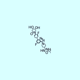 CC(C)C(=O)NC(=N)C1CCN(c2ncnc3c(C4C=C(F)C(N5C[C@H](O)[C@H](O)CC5=O)=CC4)cc(F)cc23)CC1